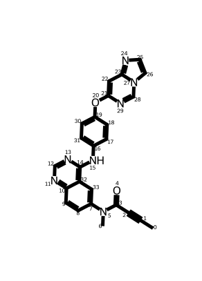 CC#CC(=O)N(C)c1ccc2ncnc(Nc3ccc(Oc4cc5nccn5cn4)cc3)c2c1